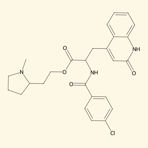 CN1CCCC1CCOC(=O)C(Cc1cc(=O)[nH]c2ccccc12)NC(=O)c1ccc(Cl)cc1